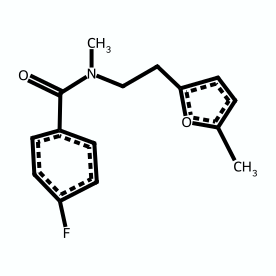 Cc1ccc(CCN(C)C(=O)c2ccc(F)cc2)o1